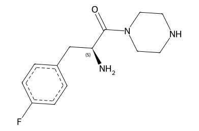 N[C@@H](Cc1ccc(F)cc1)C(=O)N1CCNCC1